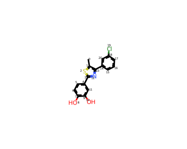 Cc1sc(-c2ccc(O)c(O)c2)nc1-c1cccc(Cl)c1